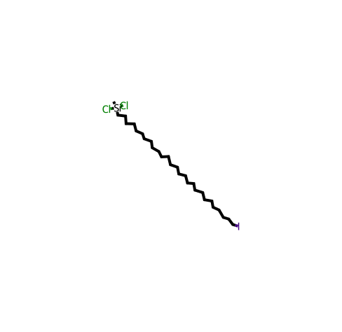 C[Si](Cl)(Cl)CCCCCCCCCCCCCCCCCCCCCCCCCCCI